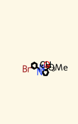 COC(=O)c1cccc2nc(-c3cccc(Br)c3)n(C)c12